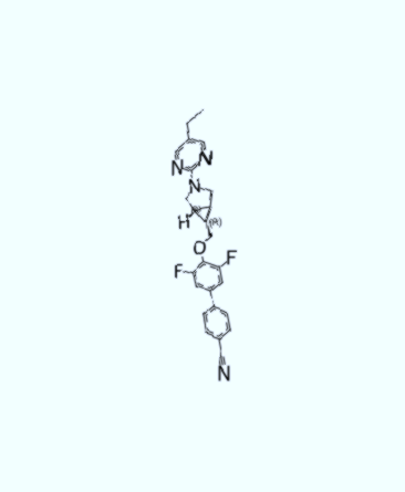 CCc1cnc(N2CC3[C@@H](COc4c(F)cc(-c5ccc(C#N)cc5)cc4F)[C@@H]3C2)nc1